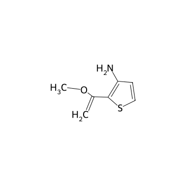 C=C(OC)c1sccc1N